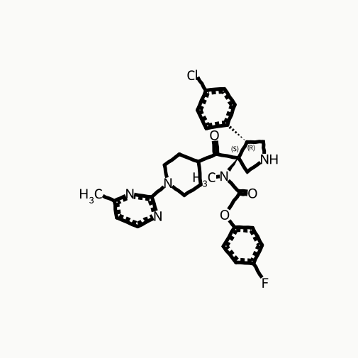 Cc1ccnc(N2CCC(C(=O)[C@@]3(N(C)C(=O)Oc4ccc(F)cc4)CNC[C@H]3c3ccc(Cl)cc3)CC2)n1